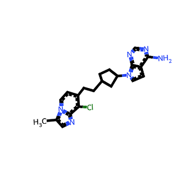 Cc1cnc2c(Cl)c(CCC3CCC(n4ccc5c(N)ncnc54)C3)ccn12